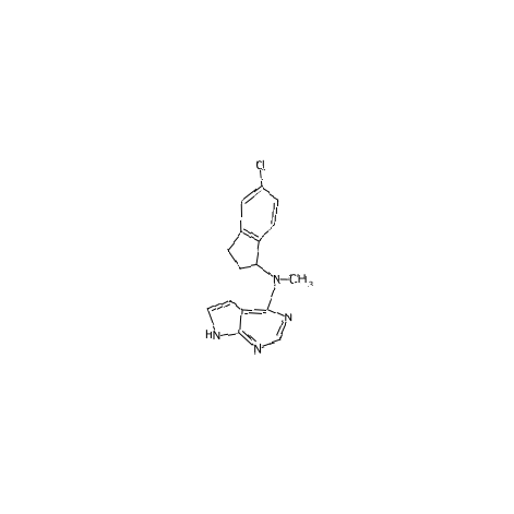 CN(c1ncnc2[nH]ccc12)C1CCc2cc(Cl)ccc21